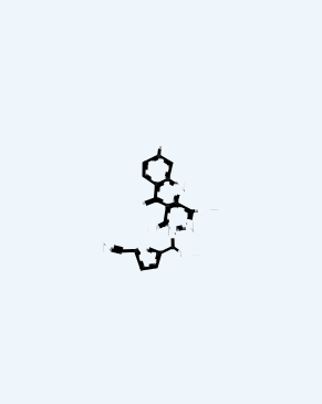 CC(c1ccc(C#N)s1)n1nc(O)c2[nH]c3cc(Cl)ccc3c(=O)c2c1=O